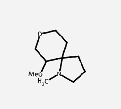 COC1COCCC12CCCN2C